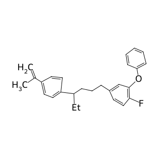 C=C(C)c1ccc(C(CC)CCCc2ccc(F)c(Oc3ccccc3)c2)cc1